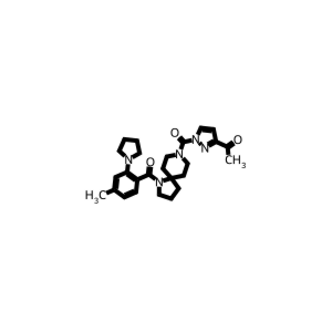 CC(=O)c1ccn(C(=O)N2CCC3(CCCN3C(=O)c3ccc(C)cc3N3CCCC3)CC2)n1